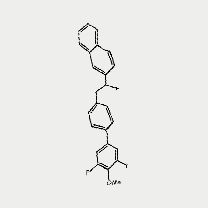 COc1c(F)cc(-c2ccc(CC(F)c3ccc4ccccc4c3)cc2)cc1F